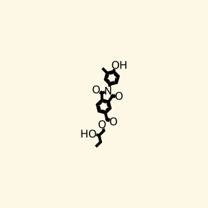 CCC(O)COC(=O)c1ccc2c(c1)C(=O)N(c1ccc(O)c(C)c1)C2=O